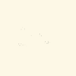 CCCC(=NN)OC